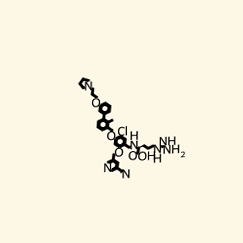 Cc1c(COc2cc(OCc3cncc(C#N)c3)c(CN[C@@H](CCCNC(=N)N)C(=O)O)cc2Cl)cccc1-c1cccc(OCCCN2CCCC2)c1